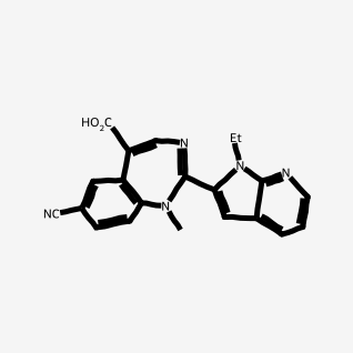 CCn1c(C2=NC=C(C(=O)O)c3cc(C#N)ccc3N2C)cc2cccnc21